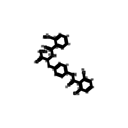 COC(=O)[C@H](Cc1ccc(NC(=O)c2c(Cl)cccc2Cl)cc1)NC(=O)c1ccccc1SC